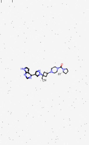 CC[C@H]1CCCN1C(=O)N1CCN(C2CC(CC#N)(n3cc(-c4ncnc5[nH]ccc45)cn3)C2)CC1